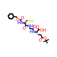 CC(C)(C)OC(=O)CC[C@H](NC(=O)CNC(=O)[C@H](CS)NC(=O)OCc1ccccc1)C(=O)O